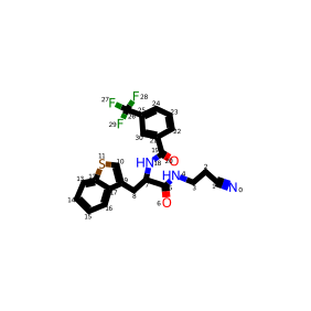 N#CCCNC(=O)C(Cc1csc2ccccc12)NC(=O)c1cccc(C(F)(F)F)c1